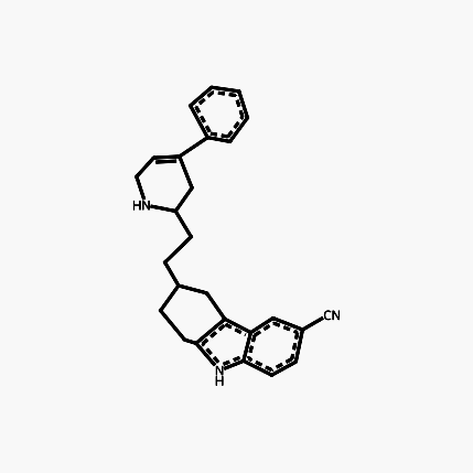 N#Cc1ccc2[nH]c3c(c2c1)CC(CCC1CC(c2ccccc2)=CCN1)CC3